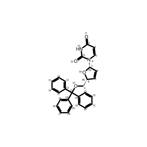 O=c1ccn([C@@H]2C=C[C@H](COC(c3ccccc3)(c3ccccc3)c3ccccc3)O2)c(=O)[nH]1